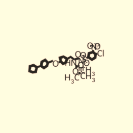 CC(C)(C)OC(=O)NC(Cc1ccc(OCc2ccc(-c3ccccc3)cc2)cc1)C(=O)NS(=O)(=O)c1ccc(Cl)c([N+](=O)[O-])c1